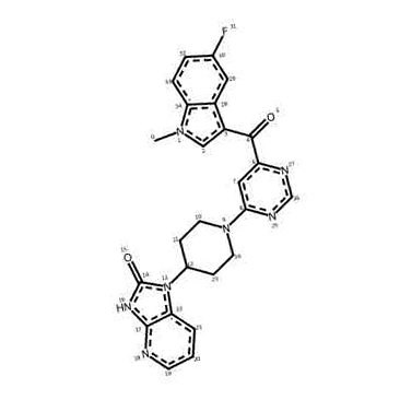 Cn1cc(C(=O)c2cc(N3CCC(n4c(=O)[nH]c5ncccc54)CC3)ncn2)c2cc(F)ccc21